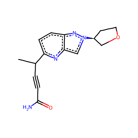 CC(C#CC(N)=O)c1ccc2nn([C@H]3CCOC3)cc2n1